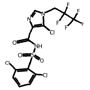 O=C(NS(=O)(=O)c1c(Cl)cccc1Cl)c1ncn(CC(F)(F)C(F)(F)F)c1Cl